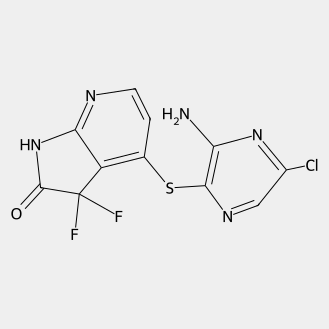 Nc1nc(Cl)cnc1Sc1ccnc2c1C(F)(F)C(=O)N2